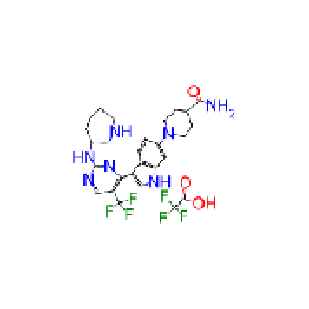 NC(=O)C1CCN(c2ccc3c(-c4nc(N[C@H]5CCCCNC5)ncc4C(F)(F)F)c[nH]c3c2)CC1.O=C(O)C(F)(F)F